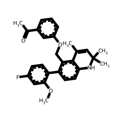 COc1cc(F)ccc1-c1ccc2c(c1COc1cccc(C(C)=O)c1)C(C)=CC(C)(C)N2